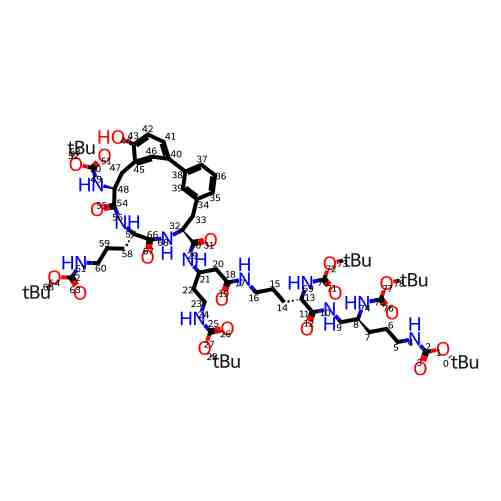 CC(C)(C)OC(=O)NCCC[C@@H](CNC(=O)[C@H](CCCNC(=O)CC(CCNC(=O)OC(C)(C)C)NC(=O)[C@@H]1Cc2cccc(c2)-c2ccc(O)c(c2)C[C@H](NC(=O)OC(C)(C)C)C(=O)N[C@@H](CCCNC(=O)OC(C)(C)C)C(=O)N1)NC(=O)OC(C)(C)C)NC(=O)OC(C)(C)C